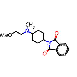 COCCN(C)C1CCC(N2C(=O)c3ccccc3C2=O)CC1